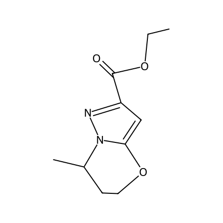 CCOC(=O)c1cc2n(n1)C(C)CCO2